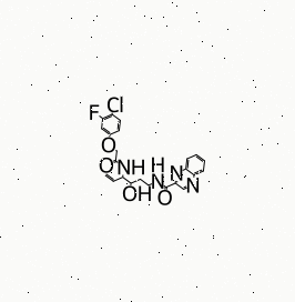 C=CC(NC(=O)COc1ccc(Cl)c(F)c1)[C@@H](O)CCNC(=O)c1cnc2ccccc2n1